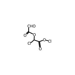 O=CC(=O)OC(Cl)C(=O)OCl